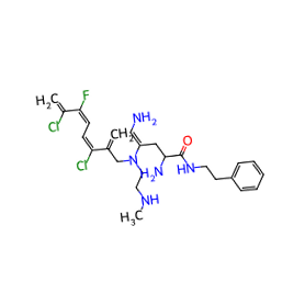 C=C(Cl)/C(F)=C\C=C(\Cl)C(=C)CN(CCNC)/C(=C/N)CC(N)C(=O)NCCc1ccccc1